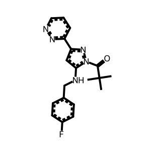 CC(C)(C)C(=O)n1nc(-c2cccnn2)cc1NCc1ccc(F)cc1